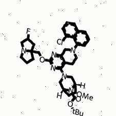 CO[C@@H]1C[C@@H]2CN(c3nc(OCC45CCCN4CC(F)C5)nc4c3CCN(c3cccc5cccc(Cl)c35)C4)C[C@H]1N2C(=O)OC(C)(C)C